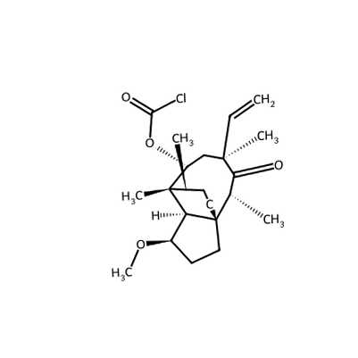 C=C[C@]1(C)C[C@@H](OC(=O)Cl)[C@]2(C)[C@H](C)CC[C@]3(CC[C@@H](OC)[C@H]32)[C@@H](C)C1=O